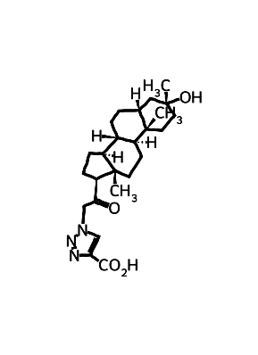 C[C@@]1(O)CC[C@@]2(C)[C@H](CC[C@@H]3[C@@H]2CC[C@]2(C)[C@@H](C(=O)Cn4cc(C(=O)O)nn4)CC[C@@H]32)C1